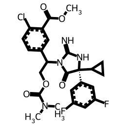 COC(=O)c1cc(C(COC(=O)N(C)C)N2C(=N)N[C@@](c3cc(F)cc(F)c3)(C3CC3)C2=O)ccc1Cl